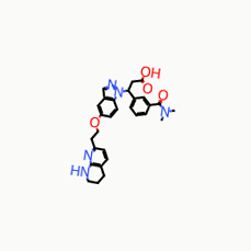 CN(C)C(=O)c1cccc(C(CC(=O)O)n2ncc3cc(OCCc4ccc5c(n4)NCCC5)ccc32)c1